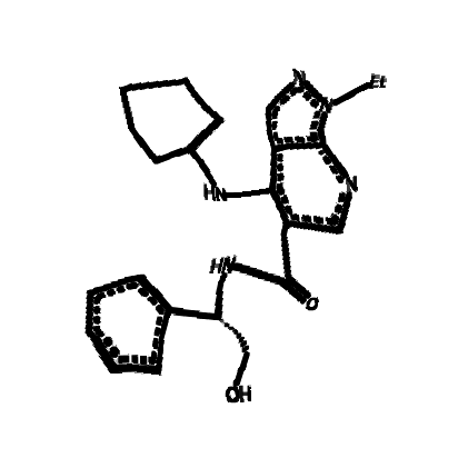 CCn1ncc2c(NC3CCCCC3)c(C(=O)N[C@H](CO)c3ccccc3)cnc21